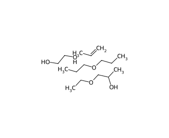 C=CC.CCCOCCC.CCOCC(C)O.OCCO